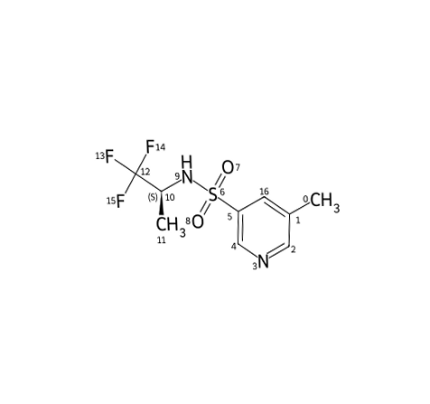 Cc1cncc(S(=O)(=O)N[C@@H](C)C(F)(F)F)c1